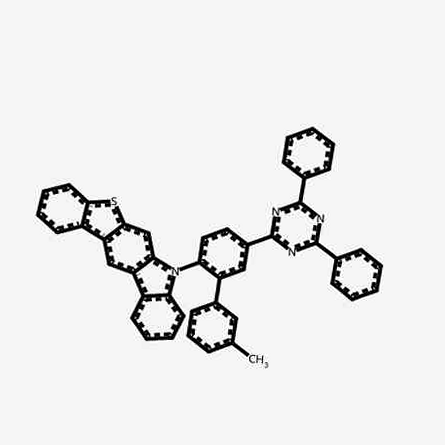 Cc1cccc(-c2cc(-c3nc(-c4ccccc4)nc(-c4ccccc4)n3)ccc2-n2c3ccccc3c3cc4c(cc32)sc2ccccc24)c1